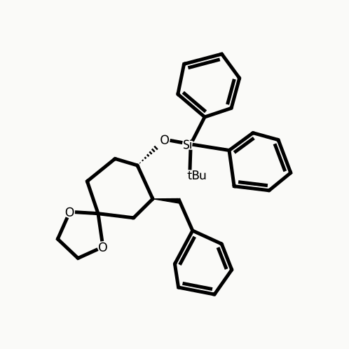 CC(C)(C)[Si](O[C@H]1CCC2(C[C@@H]1Cc1ccccc1)OCCO2)(c1ccccc1)c1ccccc1